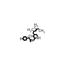 C=C/C(C)=C/C(=C)CC1CCNC(CN2C=C2C(C)c2ccc(F)cc2)C1